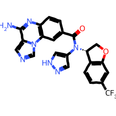 Nc1nc2ccc(C(=O)N(c3cn[nH]c3)[C@@H]3COc4cc(C(F)(F)F)ccc43)cc2n2cncc12